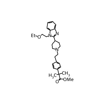 CCOCCn1c(C2CCN(CCc3ccc(C(C)(C)C(=O)OC)cc3)CC2)nc2ccccc21